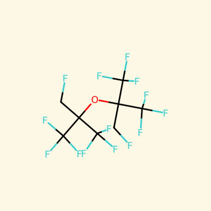 FCC(OC(CF)(C(F)(F)F)C(F)(F)F)(C(F)(F)F)C(F)(F)F